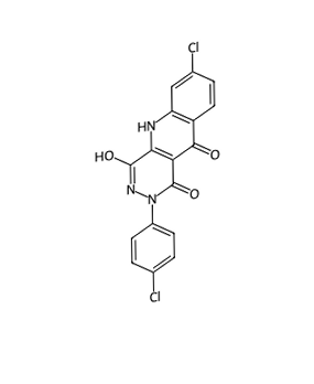 O=c1c2ccc(Cl)cc2[nH]c2c(O)nn(-c3ccc(Cl)cc3)c(=O)c12